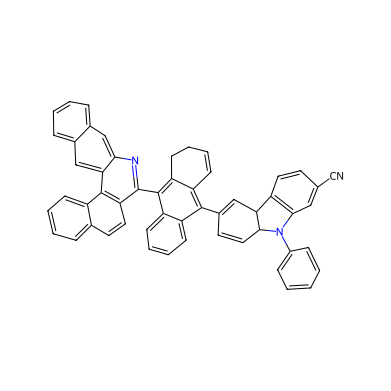 N#Cc1ccc2c(c1)N(c1ccccc1)C1C=CC(c3c4c(c(-c5nc6cc7ccccc7cc6c6c5ccc5ccccc56)c5ccccc35)CCC=C4)=CC21